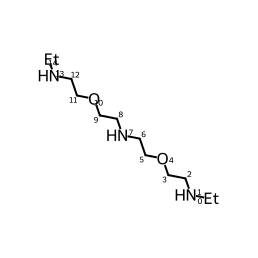 CCNCCOCCNCCOCCNCC